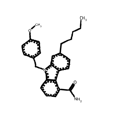 CCCCCc1c[c]c2c3c(C(N)=O)cccc3n(Cc3ccc(OC)cc3)c2c1